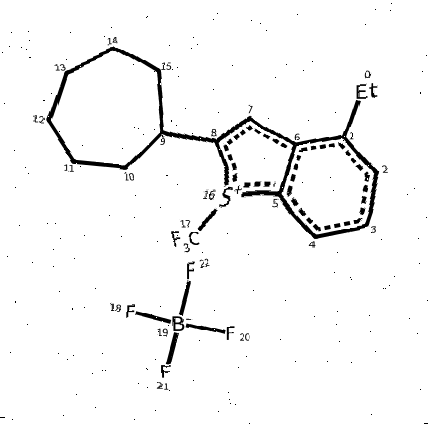 CCc1cccc2c1cc(C1CCCCCC1)[s+]2C(F)(F)F.F[B-](F)(F)F